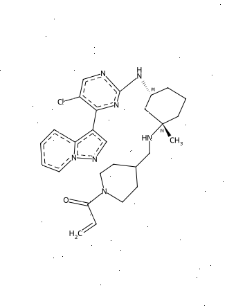 C=CC(=O)N1CCC(CN[C@@]2(C)CCC[C@@H](Nc3ncc(Cl)c(-c4cnn5ccccc45)n3)C2)CC1